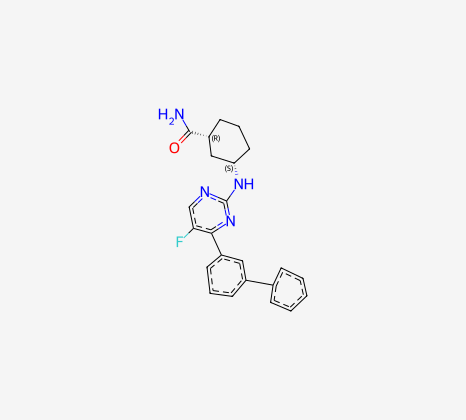 NC(=O)[C@@H]1CCC[C@H](Nc2ncc(F)c(-c3cccc(-c4ccccc4)c3)n2)C1